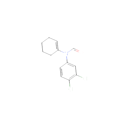 O=[C]N(C1=CCCCC1)c1ccc(Cl)c(Cl)c1